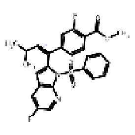 COC(=O)c1ccc(/C(=C/C(C)C)c2cc3cc(F)cnc3n2S(=O)(=O)c2ccccc2)cc1F